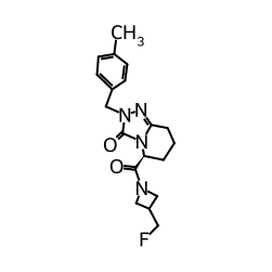 Cc1ccc(Cn2nc3n(c2=O)[C@H](C(=O)N2CC(CF)C2)CCC3)cc1